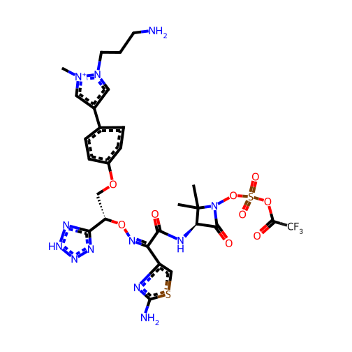 C[n+]1cc(-c2ccc(OC[C@H](O/N=C(\C(=O)N[C@@H]3C(=O)N(OS(=O)(=O)OC(=O)C(F)(F)F)C3(C)C)c3csc(N)n3)c3nn[nH]n3)cc2)cn1CCCN